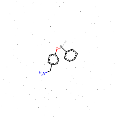 C[C@@H](Oc1ccc(CN)cc1)c1ccccc1